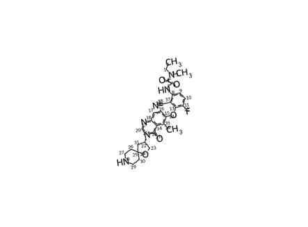 CCN(C)S(=O)(=O)Nc1ccc(F)c(Oc2ccc3ncn([C@H]4COC5(CCNCC5)C4)c(=O)c3c2C)c1C#N